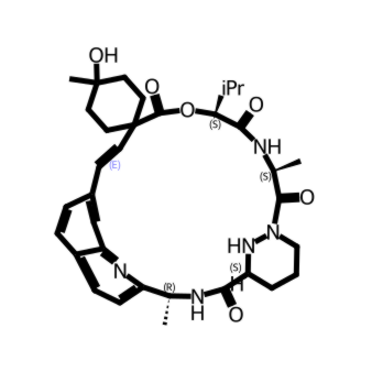 CC(C)[C@@H]1OC(=O)C2(/C=C/c3ccc4ccc(nc4c3)[C@@H](C)NC(=O)[C@@H]3CCCN(N3)C(=O)[C@H](C)NC1=O)CCC(C)(O)CC2